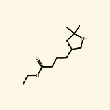 CCOC(=O)CCCC1CNC(C)(C)C1